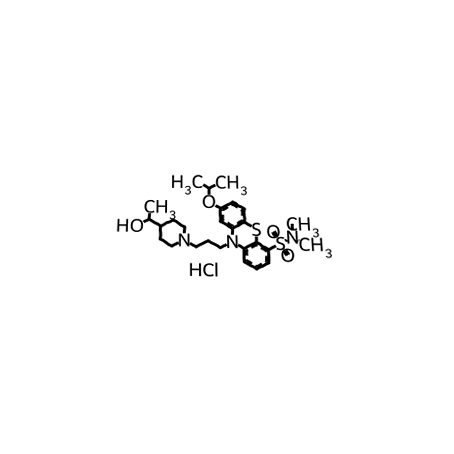 CC(C)Oc1ccc2c(c1)N(CCCN1CCC(C(C)O)CC1)c1cccc(S(=O)(=O)N(C)C)c1S2.Cl